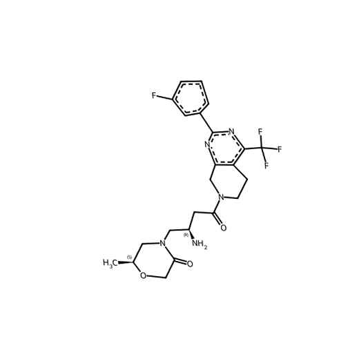 C[C@H]1CN(C[C@H](N)CC(=O)N2CCc3c(nc(-c4cccc(F)c4)nc3C(F)(F)F)C2)C(=O)CO1